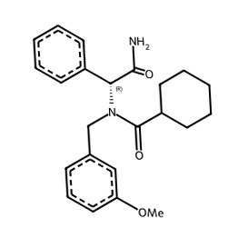 COc1cccc(CN(C(=O)C2CCCCC2)[C@@H](C(N)=O)c2ccccc2)c1